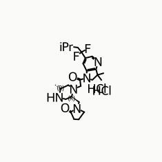 CC(C)CC(F)(F)c1cnc2c(c1)N(C(=O)CN1C[C@@H](C)NC[C@@H]1CN1CCCC1=O)CC2(C)C.Cl.Cl